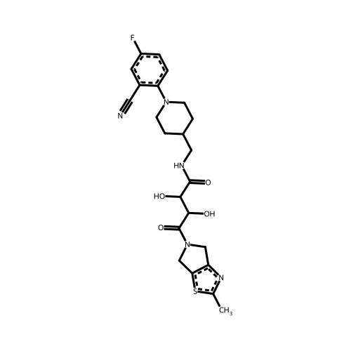 Cc1nc2c(s1)CN(C(=O)C(O)C(O)C(=O)NCC1CCN(c3ccc(F)cc3C#N)CC1)C2